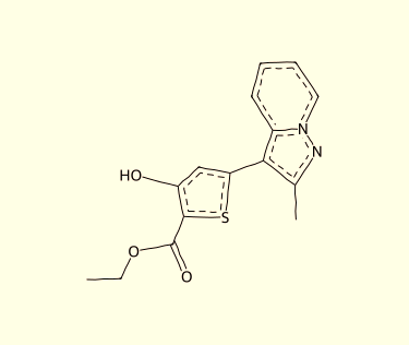 CCOC(=O)c1sc(-c2c(C)nn3ccccc23)cc1O